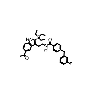 CC[Si](CC)(CC)c1[nH]c2ccc(C(C)=O)cc2c1CCNC(=O)c1ccc(Cc2cccc(F)c2)cc1